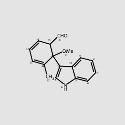 COC1(c2c[nH]c3ccccc23)C(C)=CC=CC1C=O